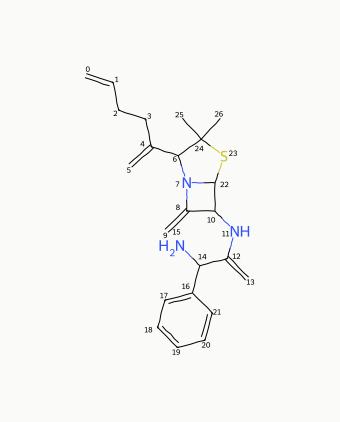 C=CCCC(=C)C1N2C(=C)C(NC(=C)C(N)c3ccccc3)C2SC1(C)C